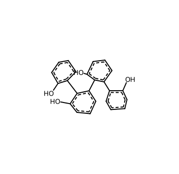 Oc1ccccc1-c1cccc(O)c1-c1cccc(O)c1-c1ccccc1O